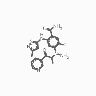 Cc1cc(Nc2cc(N(N)C(C)C(=O)c3cccnc3)c(F)cc2C(N)=O)sn1